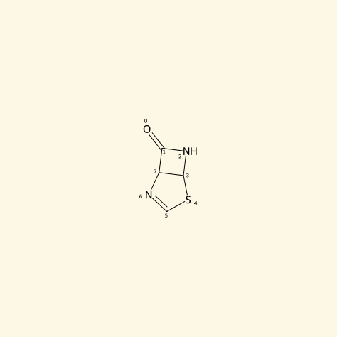 O=C1NC2SC=NC12